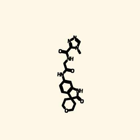 Cn1cnnc1C(=O)NCC(=O)Nc1ccc2c(c1)NC(=O)C21CCOCC1